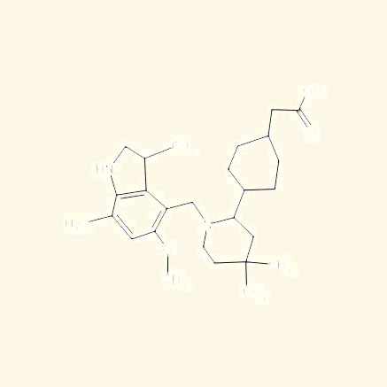 COc1cc(C)c2c(c1CN1CCC(C)(C)CC1C1CCC(CC(=O)O)CC1)C(C)CN2